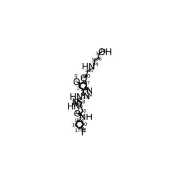 COc1cc2c(Nc3cc(CC(=O)Nc4cccc(F)c4)[nH]n3)ncnc2cc1OCCCNCCCCO